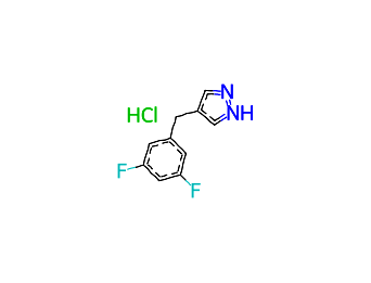 Cl.Fc1cc(F)cc(Cc2cn[nH]c2)c1